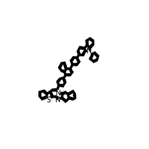 c1ccc(-n2c3ccccc3c3ccc(-c4ccc(-c5ccc(-c6ccc(-c7cc8c9ccccc9sc8c8nc9cc%10ccccc%10cc9n78)cc6)c6ccccc56)cc4)cc32)cc1